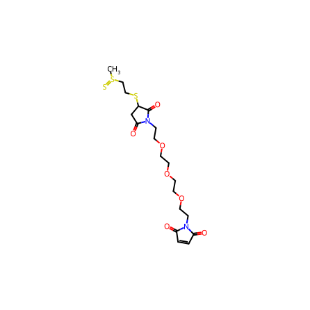 CS(=S)CCSC1CC(=O)N(CCOCCOCCOCCN2C(=O)C=CC2=O)C1=O